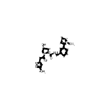 Cc1cc(CC(=O)N2C[C@H](O)C[C@H]2C(=O)NCc2cccc(-c3cccn3C)c2)on1